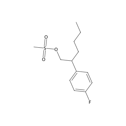 CCCCC(COS(C)(=O)=O)c1ccc(F)cc1